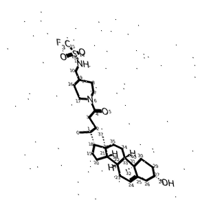 CC(CCC(=O)N1CCC(CNS(=O)(=O)C(F)(F)F)CC1)[C@H]1CC[C@H]2[C@@H]3CC=C4C[C@@H](O)CC[C@]4(C)[C@H]3CC[C@]12C